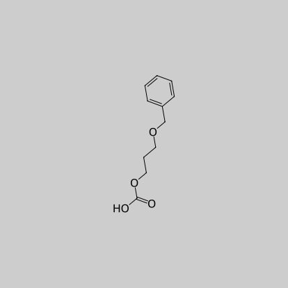 O=C(O)OCCCOCc1ccccc1